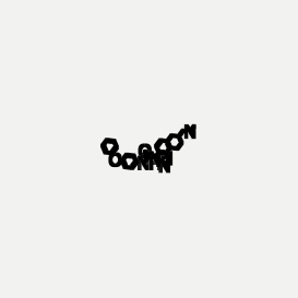 CN(C)Cc1c(NC(=O)Nc2ccc(Oc3ccccc3)cc2)ccc2c1CCC(CN(C)C)C2